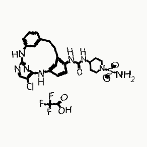 NS(=O)(=O)N1CCC(NC(=O)Nc2ccc3cc2CCc2cccc(c2)Nc2ncc(Cl)c(n2)N3)CC1.O=C(O)C(F)(F)F